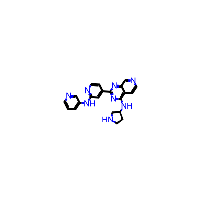 c1cncc(Nc2cc(-c3nc(NC4CCNC4)c4ccncc4n3)ccn2)c1